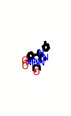 Cc1cccc(-n2cc(-c3cccc(NS(C)(=O)=O)c3)c3c(NC4CCOCC4)ncnc32)c1